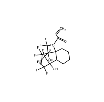 C=CC(=O)OC1(C(O)(C(F)(F)F)C(F)(F)F)CCCCC1C(O)(C(F)(F)F)C(F)(F)F